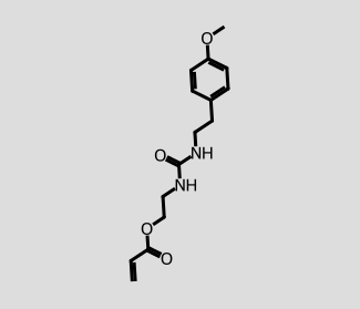 C=CC(=O)OCCNC(=O)NCCc1ccc(OC)cc1